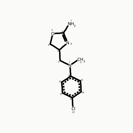 CN(CC1COC(N)=N1)c1ccc(Cl)cc1